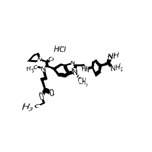 CCOC(=O)CCN(C)C(C(=O)N1CCCC1)c1ccc2c(c1)nc(CNc1ccc(C(=N)N)cc1)n2C.Cl